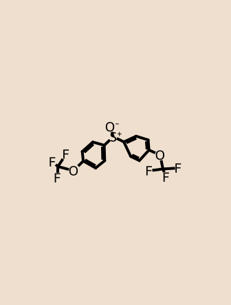 [O-][S+](c1ccc(OC(F)(F)F)cc1)c1ccc(OC(F)(F)F)cc1